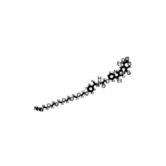 CCc1c2c(nc3ccc(OCC(=O)N/N=C(\C)c4ccc(OCCOCCOCCOCCOCCOCCN=[N+]=[N-])cc4)cc13)-c1cc3c(c(=O)n1C2)COC(=O)[C@]3(O)CC